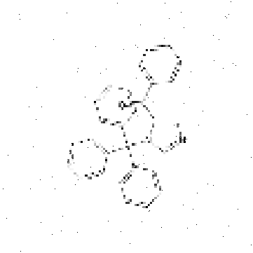 O=C(c1ccccc1)c1cncn1C(c1ccccc1)(c1ccccc1)c1ccccc1